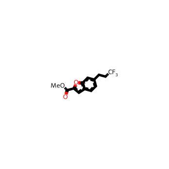 COC(=O)c1cc2ccc(CCC(F)(F)F)cc2o1